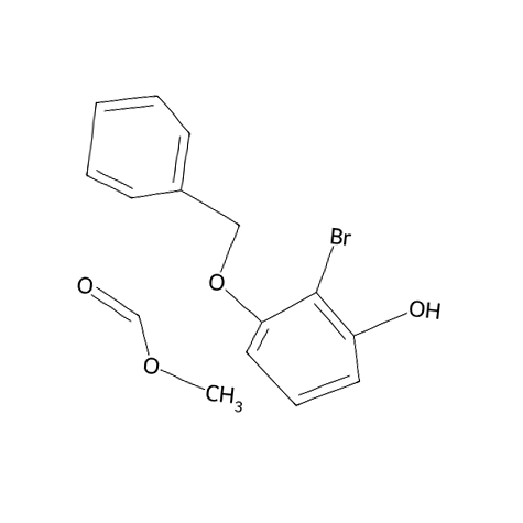 COC=O.Oc1cccc(OCc2ccccc2)c1Br